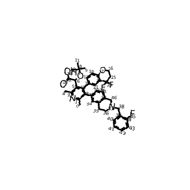 Cc1nc(C)c(C(OC(C)(C)C)C(=O)O)c(-c2ccc3c(c2)C(F)(F)CCO3)c1-c1ccc2c(c1)CCN(Cc1ccccc1F)C2